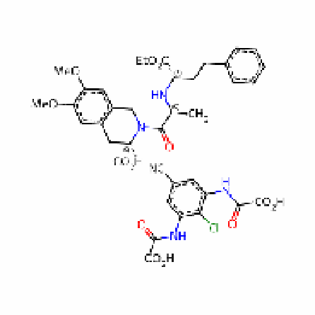 CCOC(=O)[C@H](CCc1ccccc1)N[C@@H](C)C(=O)N1Cc2cc(OC)c(OC)cc2C[C@H]1C(=O)O.N#Cc1cc(NC(=O)C(=O)O)c(Cl)c(NC(=O)C(=O)O)c1